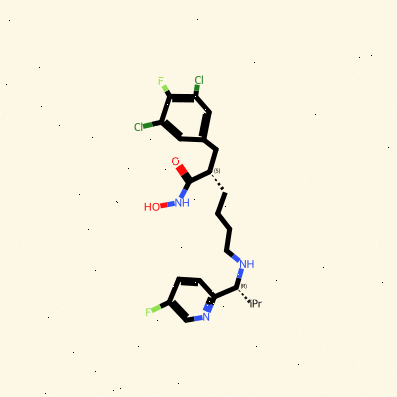 CC(C)[C@@H](NCCCC[C@@H](Cc1cc(Cl)c(F)c(Cl)c1)C(=O)NO)c1ccc(F)cn1